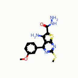 COc1cccc(-c2nc(SC)nc3sc(C(=O)NN)c(N)c23)c1